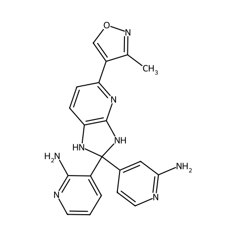 Cc1nocc1-c1ccc2c(n1)NC(c1ccnc(N)c1)(c1cccnc1N)N2